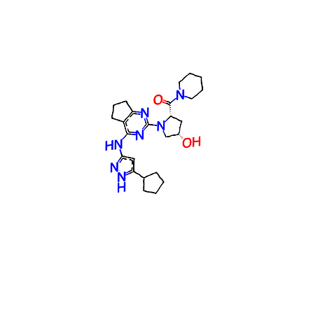 O=C([C@@H]1C[C@H](O)CN1c1nc2c(c(Nc3cc(C4CCCC4)[nH]n3)n1)CCC2)N1CCCCC1